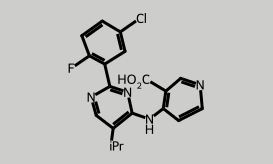 CC(C)c1cnc(-c2cc(Cl)ccc2F)nc1Nc1ccncc1C(=O)O